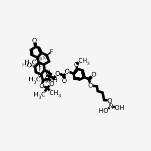 COc1cc(C(=O)OCCCCON(O)O)ccc1OC(=O)OCC(=O)[C@@]12OC(C)(C)O[C@@H]1CC1C3C[C@H](F)C4=CC(=O)C=C[C@]4(C)[C@@]3(F)[C@@H](O)C[C@@]12C